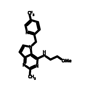 COCCNc1nc(C)nc2ccn(Cc3ccc(C(F)(F)F)cn3)c12